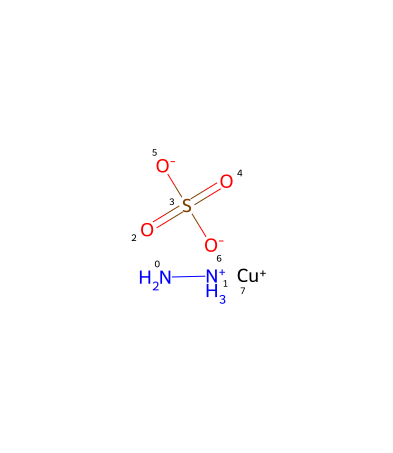 N[NH3+].O=S(=O)([O-])[O-].[Cu+]